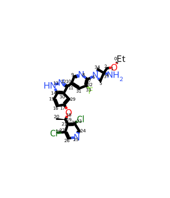 CCOCC1(N)CN(c2ncc(-c3n[nH]c4ccc(O[C@H](C)c5c(Cl)cncc5Cl)cc34)cc2F)C1